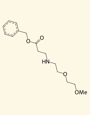 COCCOCCNCCC(=O)OCc1ccccc1